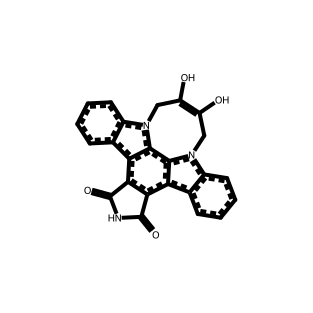 O=C1NC(=O)c2c1c1c3ccccc3n3c1c1c2c2ccccc2n1C/C(O)=C(/O)C3